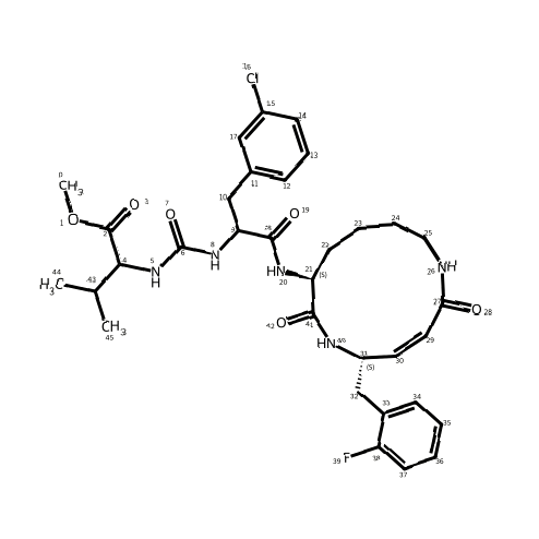 COC(=O)C(NC(=O)NC(Cc1cccc(Cl)c1)C(=O)N[C@H]1CCCCNC(=O)C=C[C@H](Cc2ccccc2F)NC1=O)C(C)C